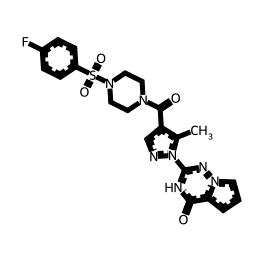 Cc1c(C(=O)N2CCN(S(=O)(=O)c3ccc(F)cc3)CC2)cnn1-c1nn2cccc2c(=O)[nH]1